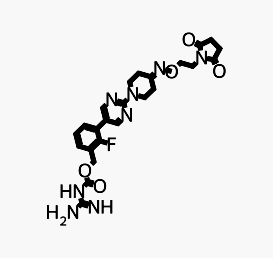 N=C(N)NC(=O)OCc1cccc(-c2cnc(N3CCC(=NOCCN4C(=O)CCC4=O)CC3)nc2)c1F